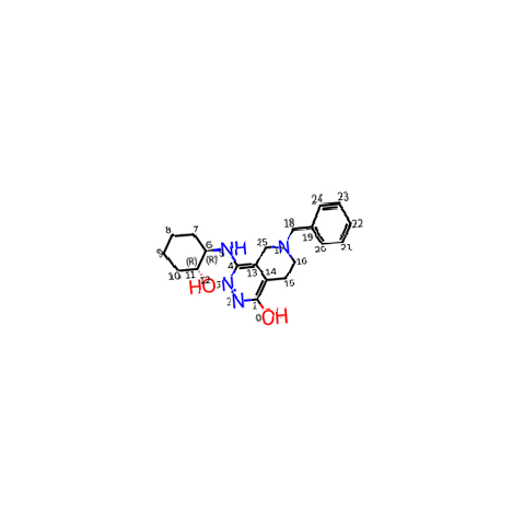 Oc1nnc(N[C@@H]2CCCC[C@H]2O)c2c1CCN(Cc1ccccc1)C2